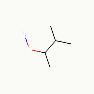 [CH2]C(ON)C(C)C